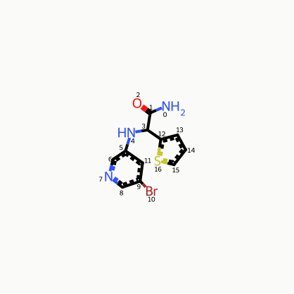 NC(=O)C(Nc1cncc(Br)c1)c1cccs1